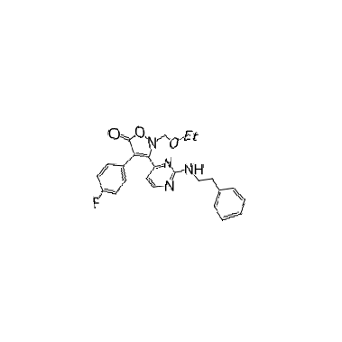 CCOCn1oc(=O)c(-c2ccc(F)cc2)c1-c1ccnc(NCCc2ccccc2)n1